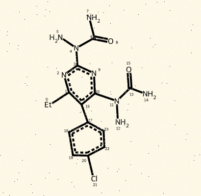 CCc1nc(N(N)C(N)=O)nc(N(N)C(N)=O)c1-c1ccc(Cl)cc1